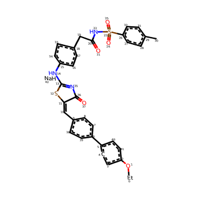 CCOc1ccc(-c2ccc(/C=C3/SC(Nc4ccc(CC(=O)NS(=O)(=O)c5ccc(C)cc5)cc4)=NC3=O)cc2)cc1.[NaH]